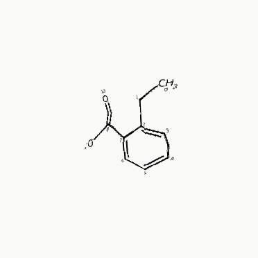 CCc1ccccc1C([O])=O